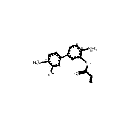 C=CC(=O)Oc1cc(-c2ccc(N)c(O)c2)ccc1N